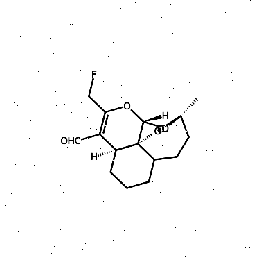 C[C@]12CCC3CCC[C@H]4C(C=O)=C(CF)O[C@H](O1)[C@@]34OO2